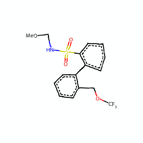 COCNS(=O)(=O)c1ccccc1-c1ccccc1COC(F)(F)F